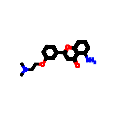 CN(C)CCOc1cccc(-c2cc(=O)c3c(N)cccc3o2)c1